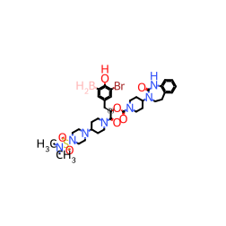 Bc1cc(C[C@@H](OC(=O)N2CCC(N3CCc4ccccc4NC3=O)CC2)C(=O)N2CCC(N3CCN(S(=O)(=O)N(C)C)CC3)CC2)cc(Br)c1O